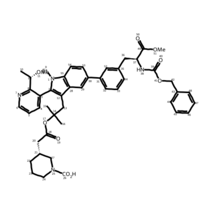 CCn1c(-c2cccnc2[C@H](C)OC)c(CC(C)(C)OC(=O)C[C@H]2CCCN(C(=O)O)C2)c2cc(-c3cccc(C[C@H](NC(=O)OCc4ccccc4)C(=O)OC)c3)ccc21